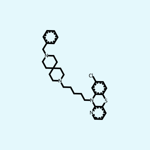 Clc1ccc2c(c1)N(CCCCCN1CCC3(CC1)CCN(Cc1ccccc1)CC3)c1ncccc1S2